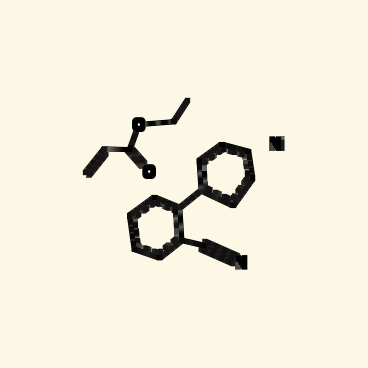 C=CC(=O)OCC.N#Cc1ccccc1-c1ccccc1.[Ni]